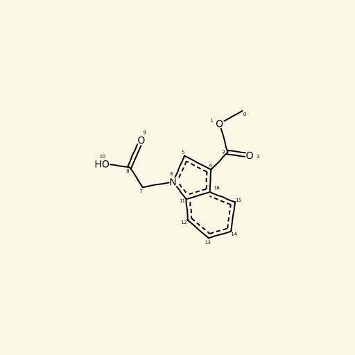 COC(=O)c1cn(CC(=O)O)c2ccccc12